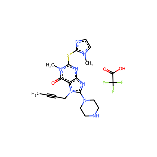 CC#CCn1c(N2CCNCC2)nc2nc(Sc3nccn3C)n(C)c(=O)c21.O=C(O)C(F)(F)F